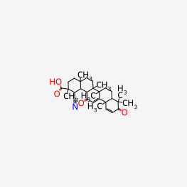 CC12CCC(C)(C(=O)O)C(C#N)C1C1C(=O)C=C3C4(C)C=CC(=O)C(C)(C)C4CCC3(C)C1(C)CC2